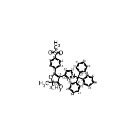 CC1(C)OC(c2ccc(S(C)(=O)=O)cc2)=C(c2ccn(C(c3ccccc3)(c3ccccc3)c3ccccc3)n2)C1=O